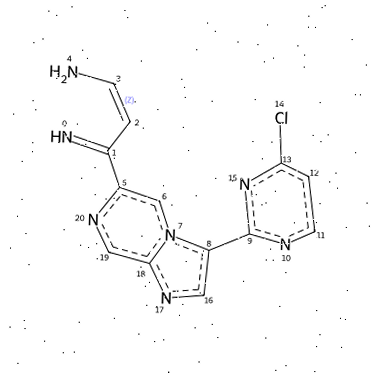 N=C(/C=C\N)c1cn2c(-c3nccc(Cl)n3)cnc2cn1